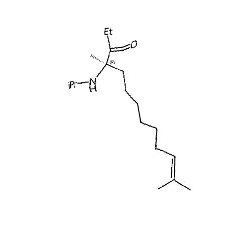 CCC(=O)[C@@](C)(CCCCCCC=C(C)C)NC(C)C